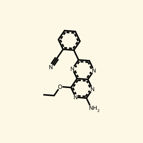 CCOc1nc(N)nc2ncc(-c3ccccc3C#N)nc12